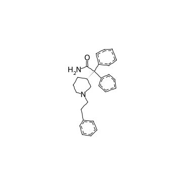 NC(=O)C(c1ccccc1)(c1ccccc1)[C@H]1CCCN(CCc2ccccc2)C1